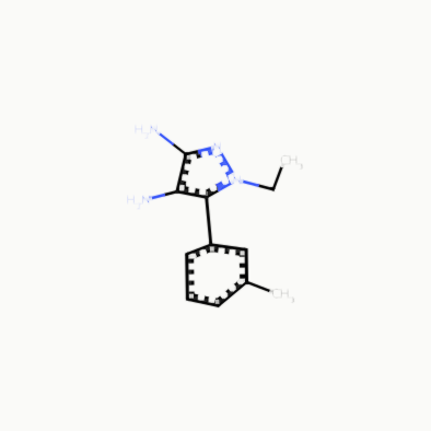 CCn1nc(N)c(N)c1-c1cccc(C)c1